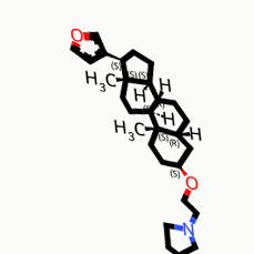 C[C@]12CC[C@H](OCCN3CCCC3)C[C@H]1CC[C@@H]1[C@@H]2CC[C@]2(C)[C@@H](c3ccoc3)CC[C@@H]12